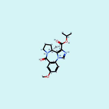 COc1ccc2c(c1)C(=O)N1CCC[C@H]1c1c(C(=O)OC(C)C)ncn1-2